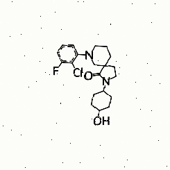 O=C1N(C2CCC(O)CC2)CCC12CCCN(c1cccc(F)c1Cl)C2